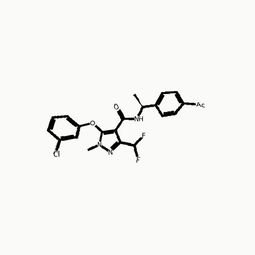 CC(=O)c1ccc([C@H](C)NC(=O)c2c(C(F)F)nn(C)c2Oc2cccc(Cl)c2)cc1